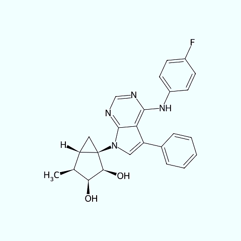 C[C@@H]1[C@H](O)[C@H](O)[C@@]2(n3cc(-c4ccccc4)c4c(Nc5ccc(F)cc5)ncnc43)C[C@@H]12